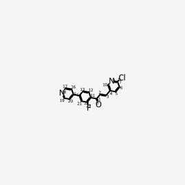 O=C(/C=C/c1ccc(Cl)nc1)c1ccc(-c2ccncc2)cc1F